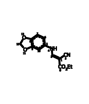 CCOC(=O)C(C#N)=CNc1ccc2c(c1)OCO2